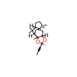 CC#C[C@]1(C)O[C@H]2C[C@@]34C[C@H](C(C)(C)[C@@H]3CC[C@H]4C)[C@@]2(C)O1